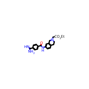 CCOC(=O)CN1CCc2ccc(NC(=O)c3ccc(C(=N)N)cc3)cc2C1